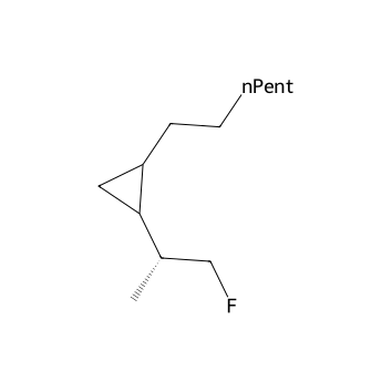 CCCCCCCC1CC1[C@@H](C)CF